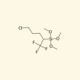 CO[Si](OC)(OC)C(CCCCl)C(F)(F)F